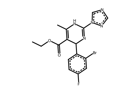 CCOC(=O)C1=C(C)NC(n2cncn2)=NC1c1ccc(F)cc1Br